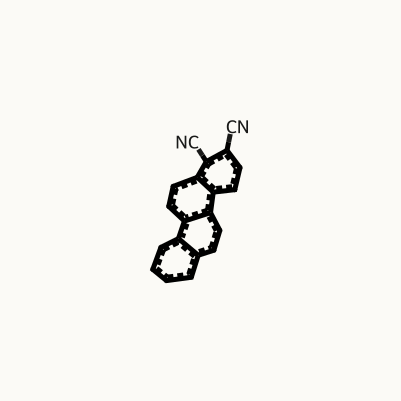 N#Cc1ccc2c(ccc3c4ccccc4ccc23)c1C#N